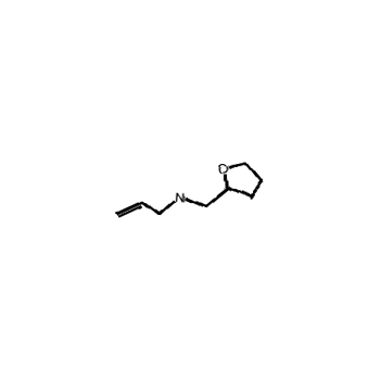 C=CC[N]CC1CCCO1